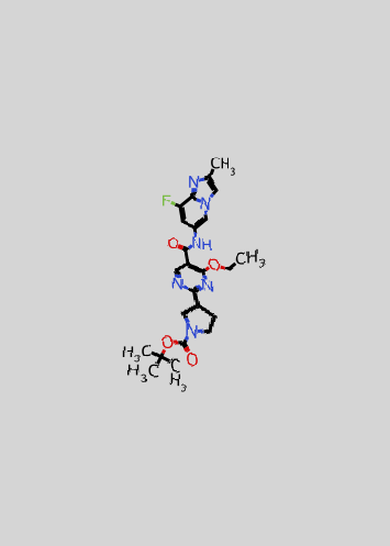 CCOc1nc(C2CCN(C(=O)OC(C)(C)C)C2)ncc1C(=O)Nc1cc(F)c2nc(C)cn2c1